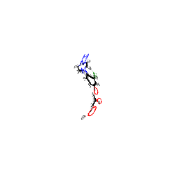 COCC(=O)COc1ccc(N2CCNCC2)c(F)c1